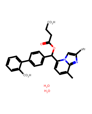 CCCc1cn2c(C(OC(=O)CCC(=O)O)c3ccc(-c4ccccc4C(=O)O)cc3)ccc(C)c2n1.O.O